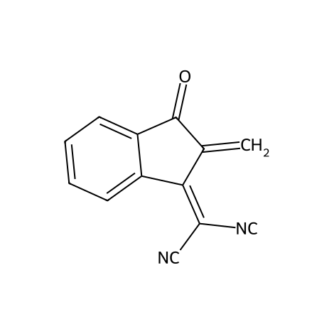 [C-]#[N+]/C(C#N)=C1\C(=C)C(=O)c2ccccc21